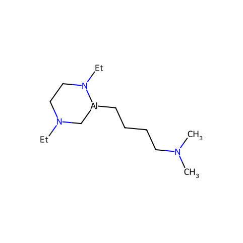 CCN1CC[N](CC)[Al]([CH2]CCCN(C)C)[CH2]1